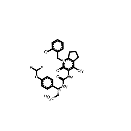 O=C(O)C[C@H](NC(=O)Nc1c(O)c2c(n(Cc3ccccc3Cl)c1=O)CCC2)c1ccc(OC(F)F)cc1